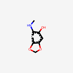 CNc1cc2c(cc1O)OCO2